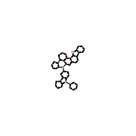 c1ccc(-c2ccccc2N(c2ccc3c(ccc4c5ccccc5oc34)c2)c2ccc3c(c2)c2ccccc2n3-c2ccccc2)cc1